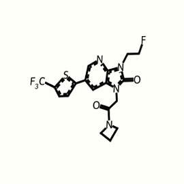 O=C(Cn1c(=O)n(CCF)c2ncc(-c3ccc(C(F)(F)F)s3)cc21)N1CCC1